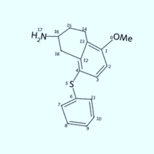 COc1ccc(Sc2ccccc2)c2c1CCC(N)C2